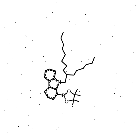 CCCCCCCCC(CCCCCC)Cn1c2ccccc2c2cccc(B3OC(C)(C)C(C)(C)O3)c21